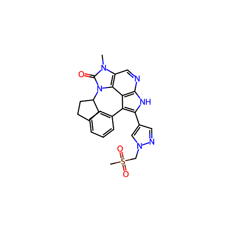 Cn1c(=O)n(C2CCCC2)c2c3c(-c4ccccc4)c(-c4cnn(CS(C)(=O)=O)c4)[nH]c3ncc21